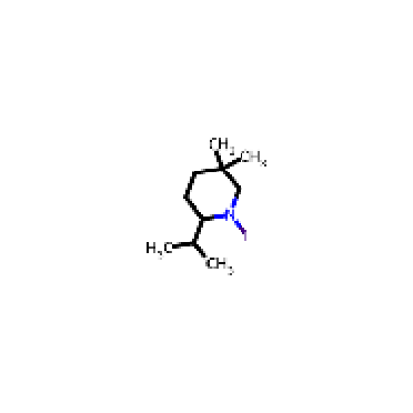 CC(C)C1CCC(C)(C)CN1I